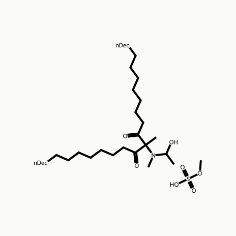 CCCCCCCCCCCCCCCCCC(=O)C(C)(C(=O)CCCCCCCCCCCCCCCCC)N(C)C(C)O.COS(=O)(=O)O